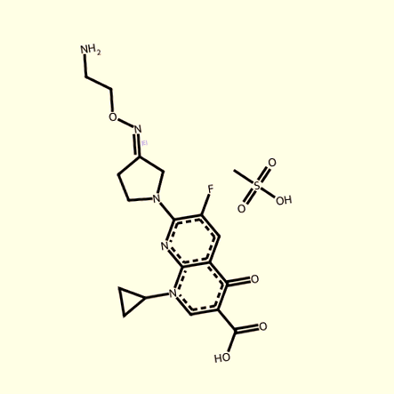 CS(=O)(=O)O.NCCO/N=C1\CCN(c2nc3c(cc2F)c(=O)c(C(=O)O)cn3C2CC2)C1